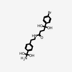 NC(O)(O)c1ccc(CCNC(=O)CCC(O)(O)c2ccc(Br)cc2)cc1